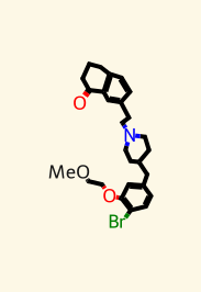 COCCOc1cc(CC2CCN(CCc3ccc4c(c3)C(=O)CCC4)CC2)ccc1Br